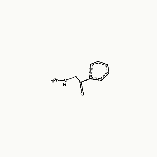 CCCNCC(=O)c1ccccc1